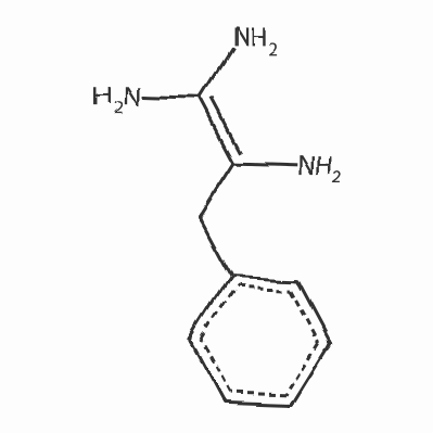 NC(N)=C(N)Cc1ccccc1